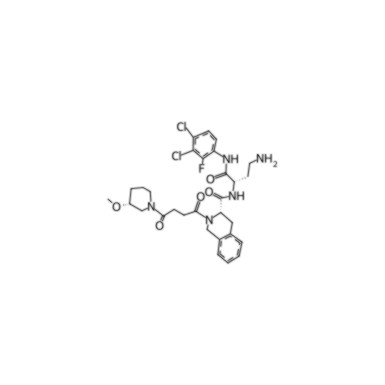 CO[C@@H]1CCCN(C(=O)CCC(=O)N2Cc3ccccc3C[C@H]2C(=O)N[C@@H](CCN)C(=O)Nc2ccc(Cl)c(Cl)c2F)C1